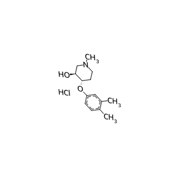 Cc1ccc(O[C@H]2CCN(C)C[C@@H]2O)cc1C.Cl